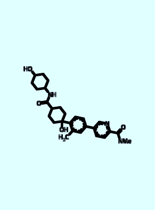 CNC(=O)c1ccc(-c2ccc(C3(O)CCC(C(=O)NC4CCC(O)CC4)CC3)c(C)c2)cn1